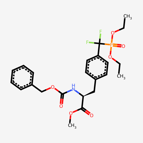 CCOP(=O)(OCC)C(F)(F)c1ccc(C[C@H](NC(=O)OCc2ccccc2)C(=O)OC)cc1